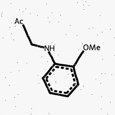 COc1ccccc1NCC(C)=O